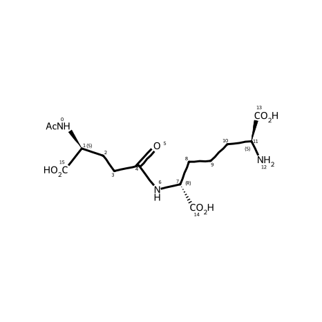 CC(=O)N[C@@H](CCC(=O)N[C@H](CCC[C@H](N)C(=O)O)C(=O)O)C(=O)O